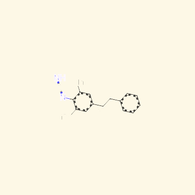 CC(C)c1cc([C@@H](C)Cc2ccccc2)cc(C(C)C)c1N=C=N